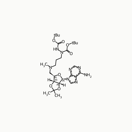 CN(CCCN(NC(=O)OC(C)(C)C)C(=O)OC(C)(C)C)C[C@H]1O[C@@H](n2cnc3c(N)ncnc32)[C@@H]2OC(C)(C)O[C@@H]21